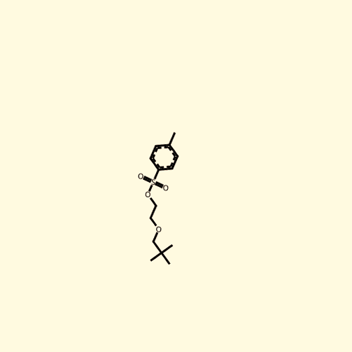 Cc1ccc(S(=O)(=O)OCCOCC(C)(C)C)cc1